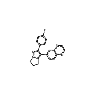 Fc1ccc(-c2nn3c(c2-c2ccc4nccnc4c2)CCC3)cc1